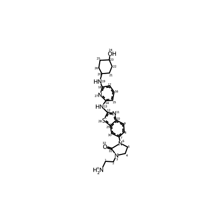 NCCN1CCN(c2ccc3nc(Nc4cccc(NC5CCC(O)CC5)n4)sc3c2)C1=O